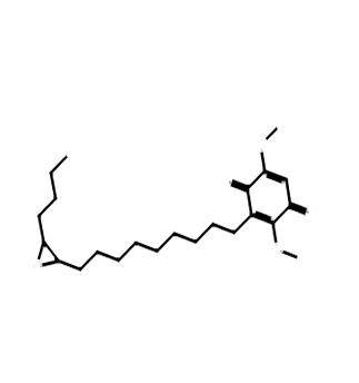 CCCCC1OC1CCCCCCCCCC1=C(OC)C(=O)C=C(OC)C1=O